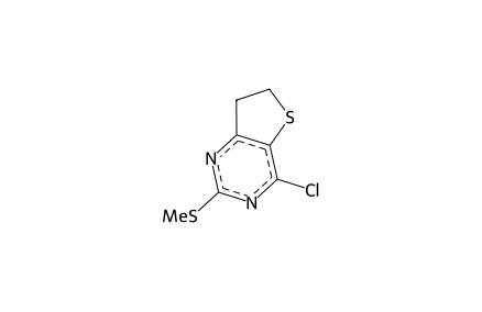 CSc1nc(Cl)c2c(n1)CCS2